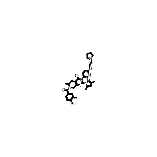 Cc1cc(C)n(-c2nc3c(c(=O)n2-c2ccc(OCCN4CCCC4)nn2)CC(C)N(C(=O)c2ccc(Br)c(C)c2)C3)n1